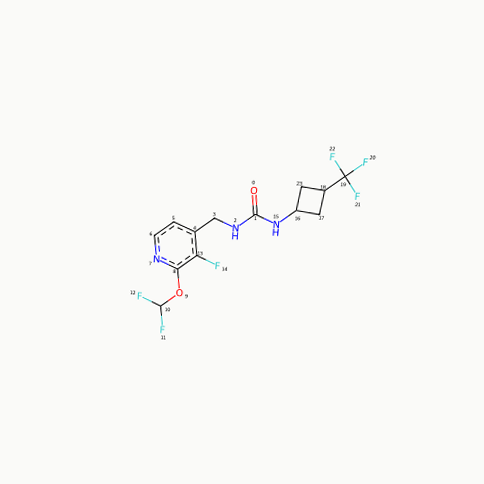 O=C(NCc1ccnc(OC(F)F)c1F)NC1CC(C(F)(F)F)C1